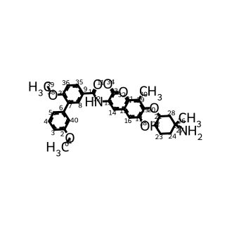 COc1cccc(-c2cc(C(=O)Nc3cc4cc(O)c(OC5CCCC(C)(N)C5)c(C)c4oc3=O)ccc2OC)c1